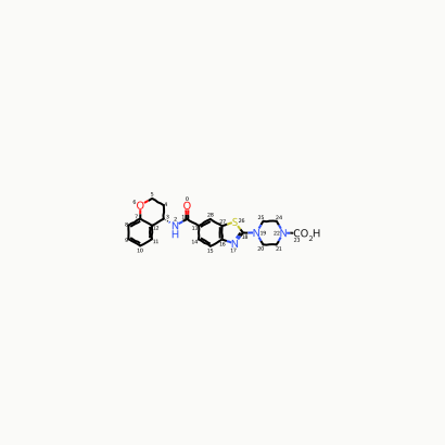 O=C(N[C@H]1CCOc2ccccc21)c1ccc2nc(N3CCN(C(=O)O)CC3)sc2c1